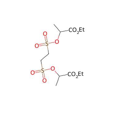 CCOC(=O)C(C)OS(=O)(=O)CCS(=O)(=O)OC(C)C(=O)OCC